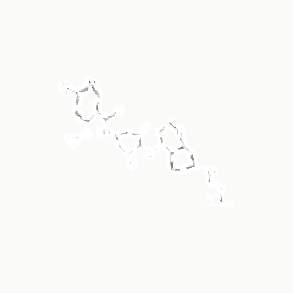 CNCCOc1ccc2c(Oc3c(F)cc(NC(=O)c4cnc(Cl)cc4OC4CC4)cc3F)ccnc2c1